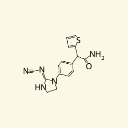 N#C/N=C1\NCCN1c1ccc(C(C(N)=O)c2cccs2)cc1